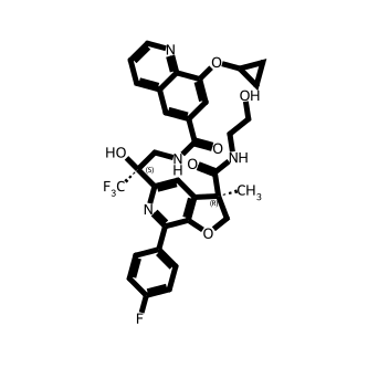 C[C@]1(C(=O)NCCO)COc2c1cc([C@@](O)(CNC(=O)c1cc(OC3CC3)c3ncccc3c1)C(F)(F)F)nc2-c1ccc(F)cc1